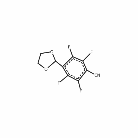 N#Cc1c(F)c(F)c(C2OCCO2)c(F)c1F